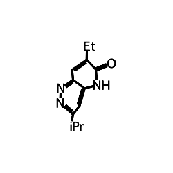 CCc1cc2nnc(C(C)C)cc2[nH]c1=O